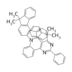 CC1(C)c2ccccc2-c2c1ccc1c2c2ccccc2n1-c1ccccc1-c1nc(-c2ccccc2)nc2c1-c1ccccc1C2(C)C